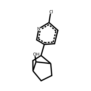 OC1C2CCC1C(c1ccc(Cl)nc1)C2